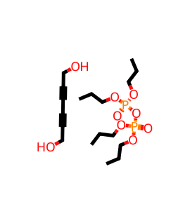 CCCOP(=O)(OCCC)OP(=O)(OCCC)OCCC.OCC#CC#CCO